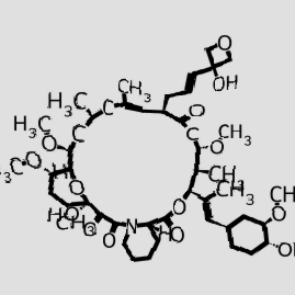 CO[C@H]1CC(=O)[C@H](C/C=C/C2(O)COC2)/C=C(\C)C[C@H](C)C[C@H](OC)[C@H]2O[C@@](O)(C(=O)C(=O)N3CCCC[C@H]3C(=O)O[C@H](/C(C)=C/[C@@H]3CC[C@@H](O)[C@H](OC)C3)[C@@H]1C)[C@H](C)C[C@@H]2OC